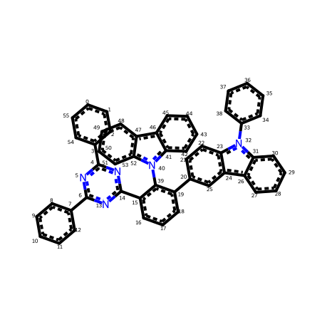 c1ccc(-c2nc(-c3ccccc3)nc(-c3cccc(-c4ccc5c(c4)c4ccccc4n5-c4ccccc4)c3-n3c4ccccc4c4ccccc43)n2)cc1